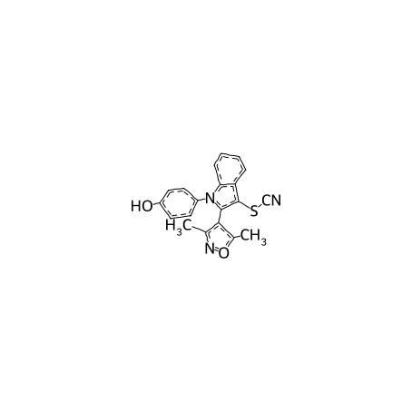 Cc1noc(C)c1-c1c(SC#N)c2ccccc2n1-c1ccc(O)cc1